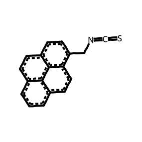 S=C=NCc1ccc2ccc3cccc4ccc1c2c34